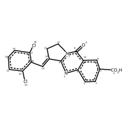 O=C(O)c1ccc2nc3n(c(=O)c2c1)CCC3=Cc1c(Cl)cccc1Cl